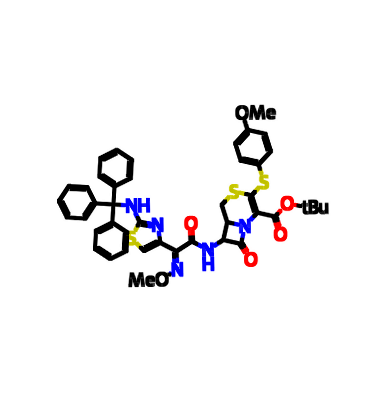 CON=C(C(=O)NC1C(=O)N2C(C(=O)OC(C)(C)C)=C(Sc3ccc(OC)cc3)SCC12)c1csc(NC(c2ccccc2)(c2ccccc2)c2ccccc2)n1